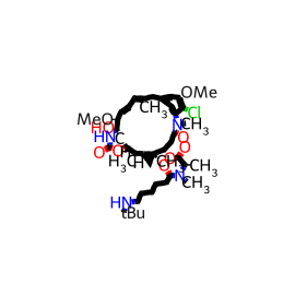 COc1cc2cc(c1Cl)N(C)C(=O)C[C@H](OC(=O)[C@H](C)N(C)C(=O)CCCCCNC(C)(C)C)[C@]1(C)C[C@H]1[C@H](C)[C@@H]1C[C@@](O)(NC(=O)O1)[C@H](OC)/C=C/C=C(\C)C2